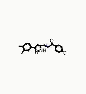 Cc1ccc(-c2cc(/C=C/C(=O)c3ccc(Cl)cc3)[nH]n2)cc1C